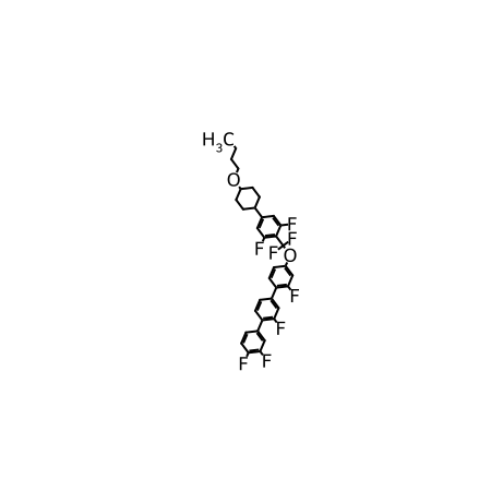 CCCCOC1CCC(c2cc(F)c(C(F)(F)Oc3ccc(-c4ccc(-c5ccc(F)c(F)c5)c(F)c4)c(F)c3)c(F)c2)CC1